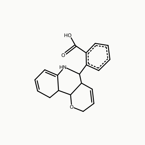 O=C(O)c1ccccc1C1NC2=CC=CCC2C2OCC=CC12